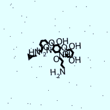 C[C@]1(O)CO[C@H](O[C@@H]2[C@@H](O)[C@H](O[C@@H]3CCC=C(CNCC4CC4)O3)[C@@H](N)C[C@H]2NC(=O)CCCN)[C@H](O)C1